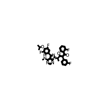 CNc1ncnc2c1c(-c1cc(F)c(OC(C)C)c(F)c1)nn2C(C)c1oc2cccc(F)c2c(=O)c1-c1cccc(F)c1